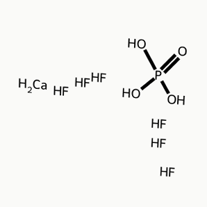 F.F.F.F.F.F.O=P(O)(O)O.[CaH2]